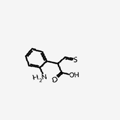 Nc1ccccc1C(C=S)C(=O)O